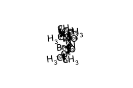 CCC(C)(C)N1CN(c2noc(COC(C)C)c2Br)C(=O)C1C